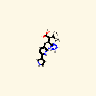 CC(C)[C@H](C(=O)O)[C@H](Cc1ccc(C2CCNC2)nc1)c1nnn[nH]1